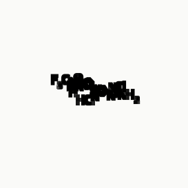 Cl.Nc1cnc(-c2ccn3c(-c4cccc(NC(=O)NCC(F)(F)F)c4)cnc3c2)nc1Cl